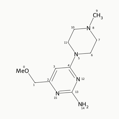 COCc1cc(N2CCN(C)CC2)nc(N)n1